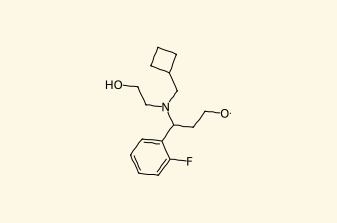 [O]CCC(c1ccccc1F)N(CCO)CC1CCC1